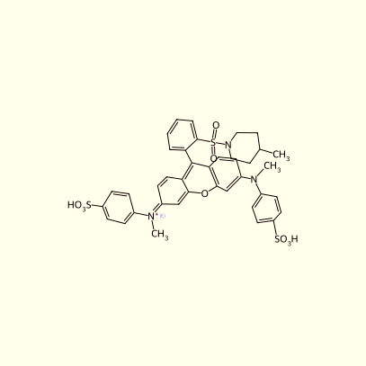 CC1CCN(S(=O)(=O)c2ccccc2-c2c3cc/c(=[N+](/C)c4ccc(S(=O)(=O)O)cc4)cc-3oc3cc(N(C)c4ccc(S(=O)(=O)O)cc4)ccc23)CC1